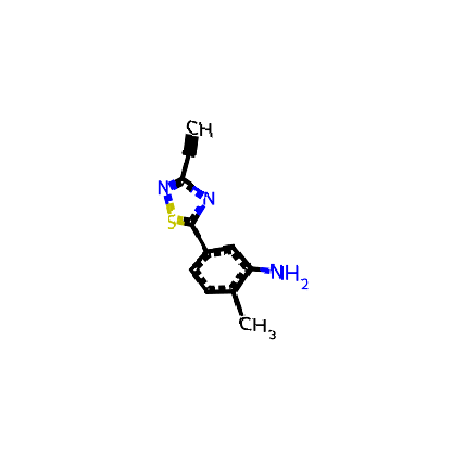 C#Cc1nsc(-c2ccc(C)c(N)c2)n1